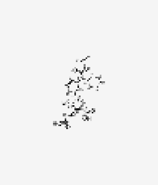 CC(C)OC(=O)N(c1cccc(-c2sc(C(=O)O)c(OCC(=O)O)c2Br)c1)C1CCCCC1